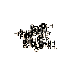 CC(=O)NC(=O)[C@@H]1CCCN1C(=O)[C@H](CCCNC(=N)N)NC(=O)[C@H](CC(C)C)NC(=O)[C@@H](CC(C)C)NC(=O)[C@H](Cc1ccc(O)cc1)NC(=O)[C@H](CO)NC(=O)[C@H](Cc1c[nH]c2ccccc12)NC(=O)[C@H](Cc1c[nH]cn1)NC(=O)[C@@H]1CCC(=O)N1